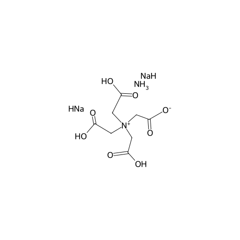 N.O=C([O-])C[N+](CC(=O)O)(CC(=O)O)CC(=O)O.[NaH].[NaH]